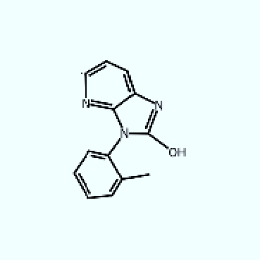 Cc1ccccc1-n1c(O)nc2cc[c]nc21